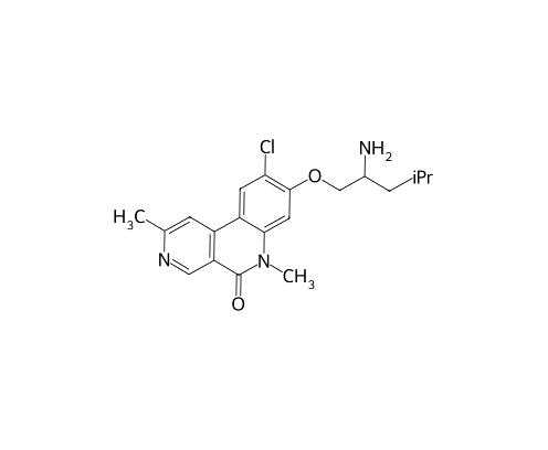 Cc1cc2c(cn1)c(=O)n(C)c1cc(OCC(N)CC(C)C)c(Cl)cc21